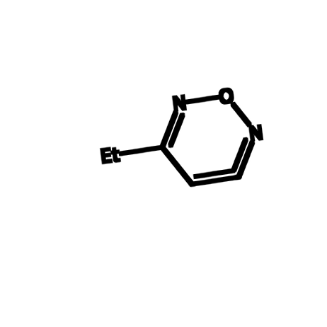 CCC1=NON=C=C1